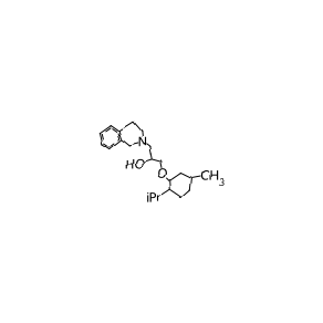 CC1CCC(C(C)C)C(OCC(O)CN2CCc3ccccc3C2)C1